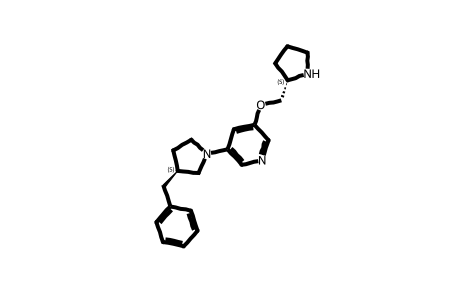 c1ccc(C[C@H]2CCN(c3cncc(OC[C@@H]4CCCN4)c3)C2)cc1